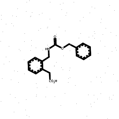 O=C(O)Cc1ccccc1CNC(=O)OCc1ccccc1